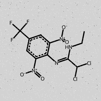 CCN/C(=N\c1c([N+](=O)[O-])cc(C(F)(F)F)cc1[N+](=O)[O-])C(Cl)Cl